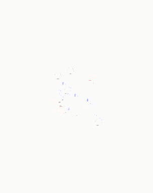 COC(=O)N[C@H]1C[C@@H](n2cnc3c(NCC(c4ccccc4)c4ccccc4)nc(C(=O)NCCNC(=O)NC4CCN(c5ccccn5)CC4)nc32)[C@H](O)[C@@H]1O.O=C(O)C(F)(F)F